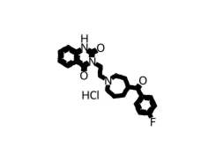 Cl.O=C(c1ccc(F)cc1)C1CCCN(CCn2c(=O)[nH]c3ccccc3c2=O)CC1